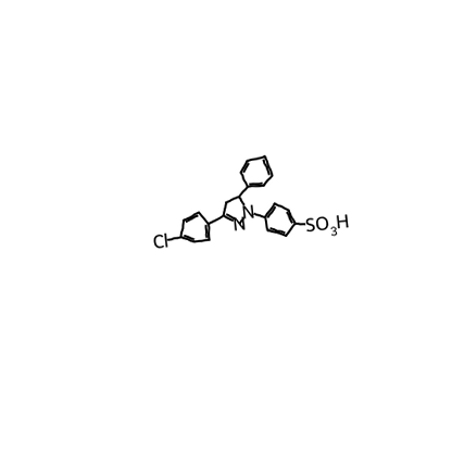 O=S(=O)(O)c1ccc(N2N=C(c3ccc(Cl)cc3)CC2c2ccccc2)cc1